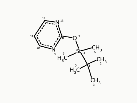 CC(C)(C)[Si](C)(C)Oc1ncccn1